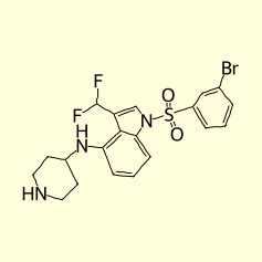 O=S(=O)(c1cccc(Br)c1)n1cc(C(F)F)c2c(NC3CCNCC3)cccc21